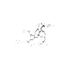 COC(=O)CCCCC1(N(CC(=O)OC(C)(C)C)CC(=O)OC(C)(C)C)CN(CC(=O)OC(C)(C)C)CCN(CC(=O)OC(C)(C)C)C1